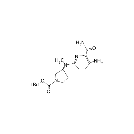 CN(c1ccc(N)c(C(N)=O)n1)[C@H]1CCN(C(=O)OC(C)(C)C)C1